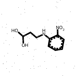 O=[N+]([O-])c1ccccc1NCCC(O)O